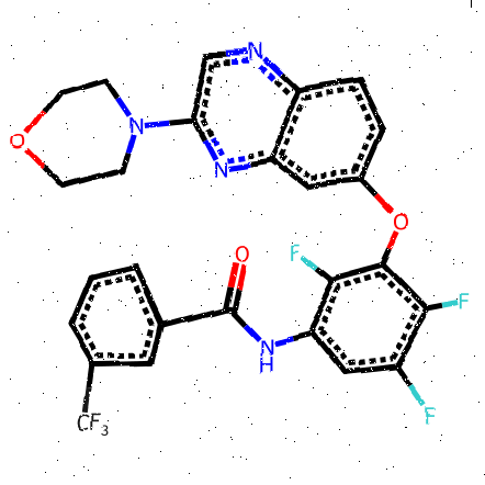 O=C(Nc1cc(F)c(F)c(Oc2ccc3ncc(N4CCOCC4)nc3c2)c1F)c1cccc(C(F)(F)F)c1